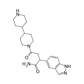 NC(=O)C([CH]C(=O)N1CCC(C2CCNCC2)CC1)c1ccc2[nH]ncc2c1